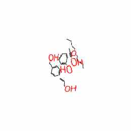 C=CCO.CC#CO.CCCCOCCCC.OCc1ccccc1.Oc1ccccc1